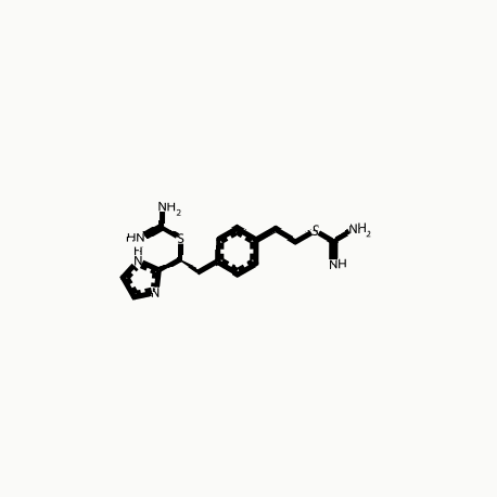 N=C(N)SCCc1ccc(C[C@H](SC(=N)N)c2ncc[nH]2)cc1